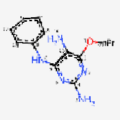 CCCOc1nc(N)nc(Nc2ccccc2)c1N